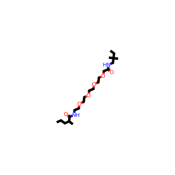 CCCC(C)C(=O)NCCOCCOCCOCCOCC(=O)NCC(C)(C)CC